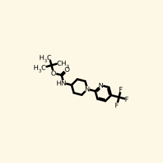 CC(C)(C)OC(=O)NC1CCN(c2ccc(C(F)(F)F)cn2)CC1